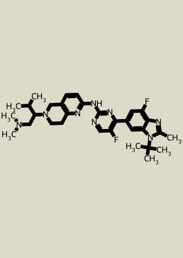 Cc1nc2c(F)cc(-c3nc(Nc4ccc5c(n4)CCN(C(CN(C)C)C(C)C)C5)ncc3F)cc2n1C(C)(C)C